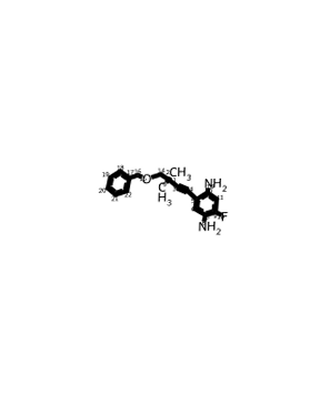 CC(C)(C#Cc1cc(N)c(F)cc1N)COCc1ccccc1